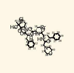 CC(C)CC(NC(=O)[C@H](Cc1ccccc1)NC(=O)[C@H](CC(C)C)NC(=O)[C@H](CCc1ccccc1)NC(=O)CN1CCOCC1)C(=O)C(C)(O)CCl